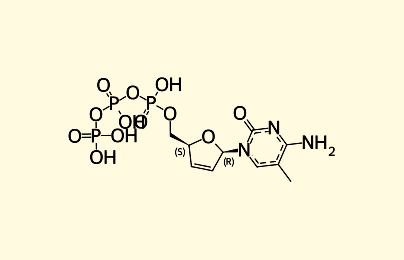 Cc1cn([C@H]2C=C[C@@H](COP(=O)(O)OP(=O)(O)OP(=O)(O)O)O2)c(=O)nc1N